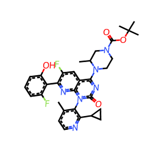 Cc1ccnc(C2CC2)c1-n1c(=O)nc(N2CCN(C(=O)OC(C)(C)C)CC2C)c2cc(F)c(-c3c(O)cccc3F)nc21